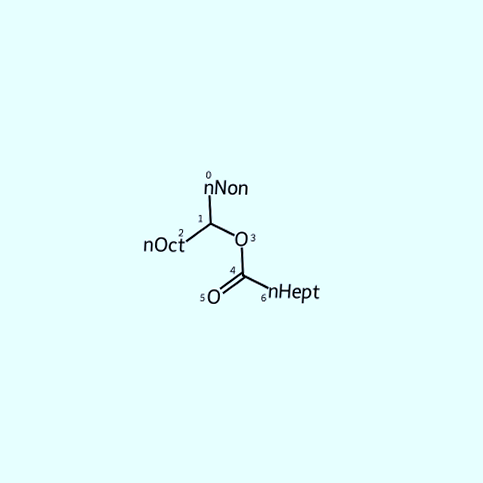 CCCCCCCCCC(CCCCCCCC)OC(=O)CCCCCCC